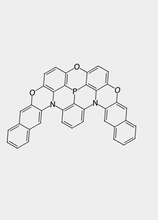 c1ccc2cc3c(cc2c1)oc1ccc2oc4ccc5oc6cc7ccccc7cc6n6c7cccc8c7p(c2c1n38)c4c56